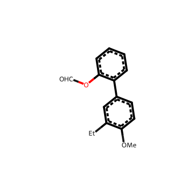 CCc1cc(-c2ccccc2OC=O)ccc1OC